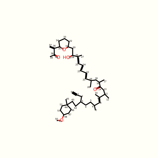 C#CCC(CCC(C)/C=C(\C)C(C)CC(=O)C(C)CC(C)/C=C/C=C/C=C(\C)C(O)CC1CCCC(C(=C)C(C)=O)O1)CCC1(C)CCC(OC)CC1